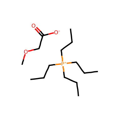 CCC[P+](CCC)(CCC)CCC.COCC(=O)[O-]